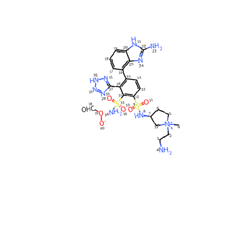 C[N+]1(CCN)CC[C@H](NS(=O)(=O)c2ccc(-c3cccc4[nH]c(N)nc34)c(-c3nn[nH]n3)c2S(N)(=O)=O)C1.O=CO[O-]